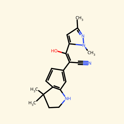 Cc1cc(/C(O)=C(\C#N)c2ccc3c(c2)NCCC3(C)C)n(C)n1